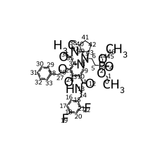 CCOP(=O)(CCN1n2cc(C(=O)NCc3ccc(F)cc3F)c(=O)c(OCc3ccccc3)c2C(=O)N(C)C12CCCC2)OCC